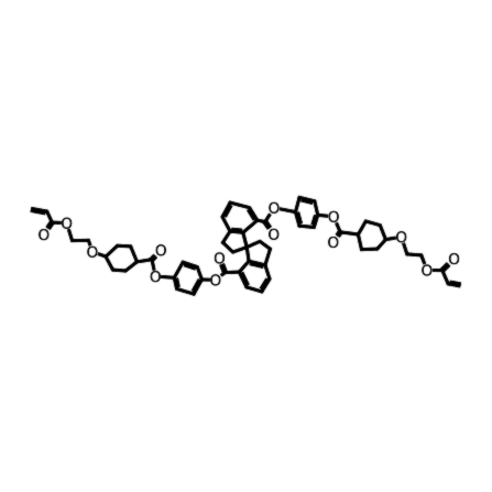 C=CC(=O)OCCOC1CCC(C(=O)Oc2ccc(OC(=O)c3cccc4c3C3(CC4)CCc4cccc(C(=O)Oc5ccc(OC(=O)C6CCC(OCCOC(=O)C=C)CC6)cc5)c43)cc2)CC1